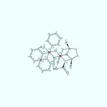 CC(OC(=O)N1[C@H]2CC[C@@H]1[C@@H](C(=O)O)N(C(=O)N(c1ccccc1)c1ccccc1)C2)c1ccccc1